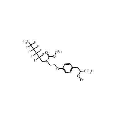 CCCCOC(=O)N(CCOc1ccc(CC(OCC)C(=O)O)cc1)CC(F)(F)C(F)(F)C(F)(F)C(F)(F)C(F)(F)F